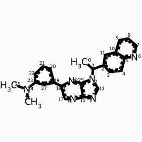 CC(c1ccc2ncccc2c1)n1cnc2ncc(-c3cccc(N(C)C)c3)nc21